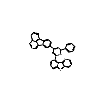 c1ccc(C2N=C(c3ccc4c(c3)-c3cccc5cccc-4c35)N=C(c3cccc4oc5cccnc5c34)N2)cc1